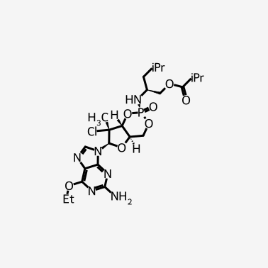 CCOc1nc(N)nc2c1ncn2[C@@H]1O[C@@H]2CO[P@](=O)(N[C@H](COC(=O)C(C)C)CC(C)C)O[C@H]2[C@@]1(C)Cl